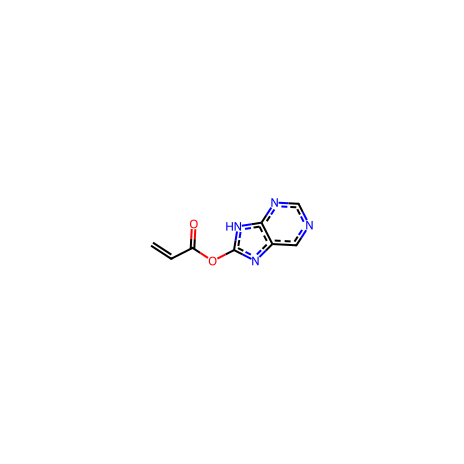 C=CC(=O)Oc1nc2cncnc2[nH]1